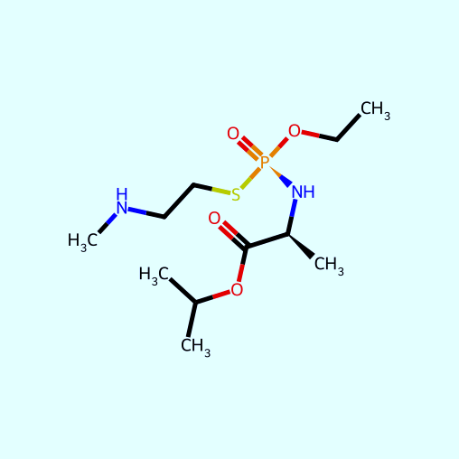 CCO[P@](=O)(N[C@@H](C)C(=O)OC(C)C)SCCNC